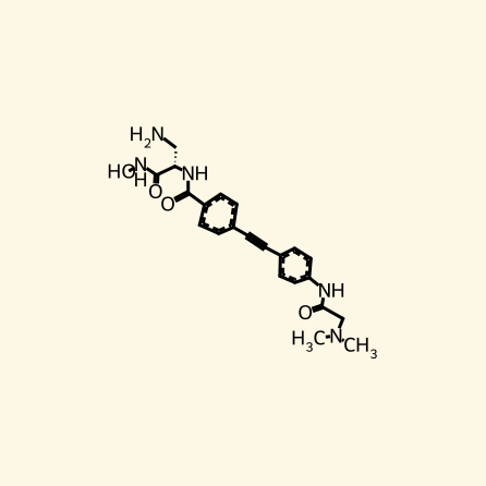 CN(C)CC(=O)Nc1ccc(C#Cc2ccc(C(=O)N[C@@H](CN)C(=O)NO)cc2)cc1